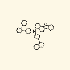 c1ccc(-c2ccccc2-c2ccc(N(c3ccc(-c4cccc5ccccc45)cc3)c3cccc4c3ccc3c5ccccc5oc43)cc2)cc1